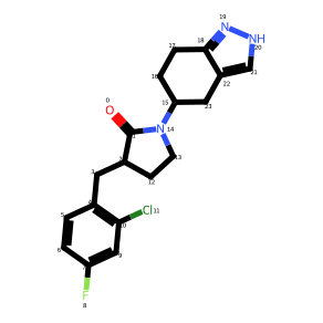 O=C1C(Cc2ccc(F)cc2Cl)CCN1C1CCc2n[nH]cc2C1